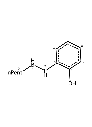 CCCCCBPc1ccccc1O